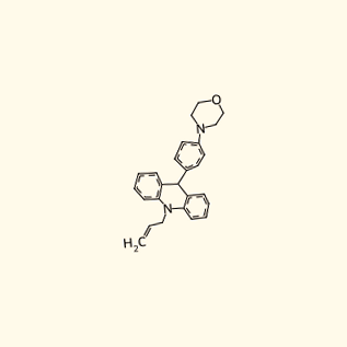 C=CCN1c2ccccc2C(c2ccc(N3CCOCC3)cc2)c2ccccc21